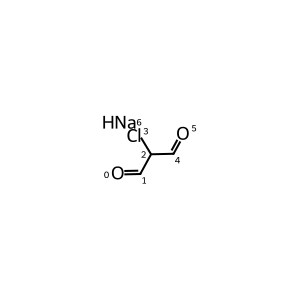 O=CC(Cl)C=O.[NaH]